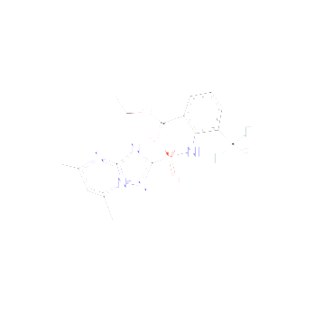 CCOC(=O)c1cccc(C(F)(F)F)c1NS(=O)(=O)c1nc2nc(C)cc(C)n2n1